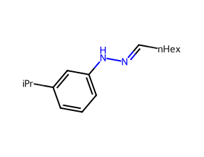 CCCCCCC=NNc1cccc(C(C)C)c1